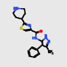 Cc1n[nH]c(NC(=O)c2csc(C3CCNCC3)n2)c1-c1ccccc1